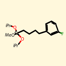 CO[Si](CCCCc1cccc(F)c1)(OC(C)C)OC(C)C